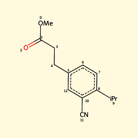 COC(=O)CCc1ccc(C(C)C)c(C#N)c1